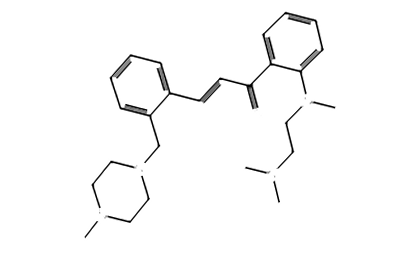 CN(C)CCN(C)c1ccccc1C(=O)/C=C/c1ccccc1CN1CCN(C)CC1